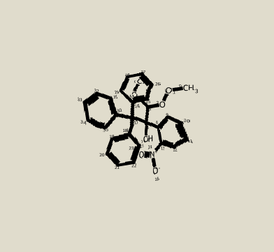 COOC(OC)C(O)(c1ccccc1[N+](=O)[O-])C(c1ccccc1)(c1ccccc1)c1ccccc1